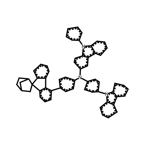 c1ccc(-n2c3ccccc3c3cc(N(c4ccc(-c5cccc6c5-c5ccccc5C65CC6CCC5C6)cc4)c4ccc(-n5c6ccccc6c6ccccc65)cc4)ccc32)cc1